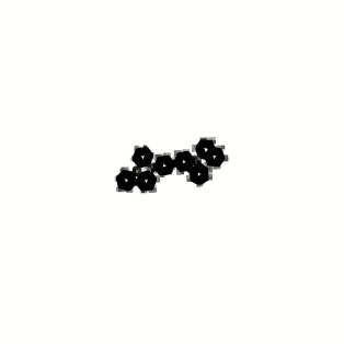 c1ccc(N(c2ccc(-c3ccc4c(c3)c3ccccc3n4-c3cccc4ccccc34)cc2)c2cccc3c2oc2ccccc23)cc1